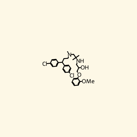 COc1ccccc1OCC(O)CNC(C)(C)CN(C)CCC(c1ccc(Cl)cc1)c1ccc(Cl)cc1